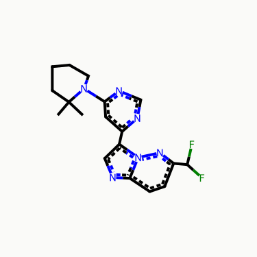 CC1(C)CCCCN1c1cc(-c2cnc3ccc(C(F)F)nn23)ncn1